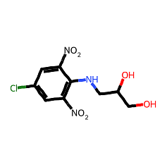 O=[N+]([O-])c1cc(Cl)cc([N+](=O)[O-])c1NCC(O)CO